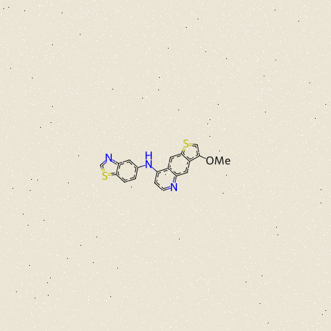 COc1csc2cc3c(Nc4ccc5scnc5c4)ccnc3cc12